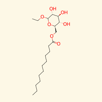 CCCCCCCCCCCC(=O)OC[C@H]1OC(OCC)[C@H](O)[C@@H](O)[C@@H]1O